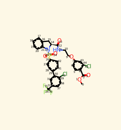 COC(=O)c1ccc(OCCNC(=O)[C@@H]2Cc3ccccc3N2S(=O)(=O)c2ccc(-c3cc(C(F)(F)F)ccc3Cl)cc2)cc1Cl